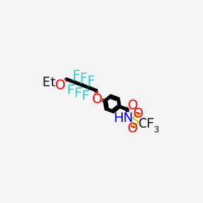 CCOCC(F)(F)C(F)(F)C(F)(F)COc1ccc(C(=O)NS(=O)(=O)C(F)(F)F)cc1